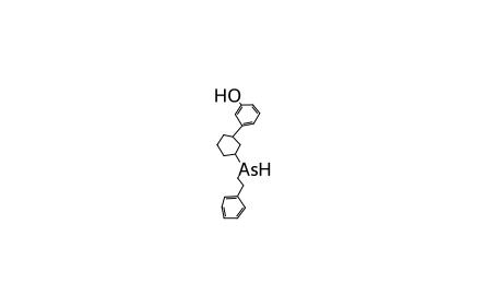 Oc1cccc(C2CCCC([AsH]CCc3ccccc3)C2)c1